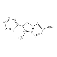 COc1ccc2c(c1)cc(-c1ccccc1)n2C